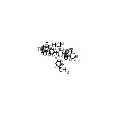 Cc1ccc(C[C@@H]2CN(S(=O)(=O)C3=CC=CCC3=S)CCN2c2ccc(C(O)(C(F)(F)F)C(F)(F)F)cc2)cc1.Cl